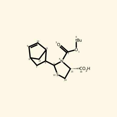 CC(C)(C)OC(=O)N1C(C2CC3C=CC2C3)SC[C@H]1C(=O)O